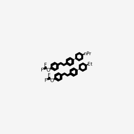 CCC[C@H]1CC[C@H](c2ccc(CCc3ccc(OC(F)F)cc3)cc2)CC1.CC[C@H]1CC[C@H](c2ccc(CCc3ccc(OC(F)F)cc3)cc2)CC1